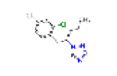 CC/C=C(/Cc1ccc(Cl)cc1Cl)n1cncn1